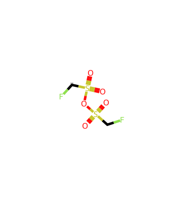 O=S(=O)([C]F)OS(=O)(=O)CF